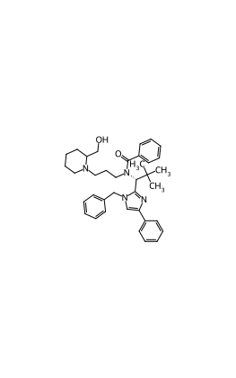 CC(C)(C)[C@H](c1nc(-c2ccccc2)cn1Cc1ccccc1)N(CCCN1CCCCC1CO)C(=O)c1ccccc1